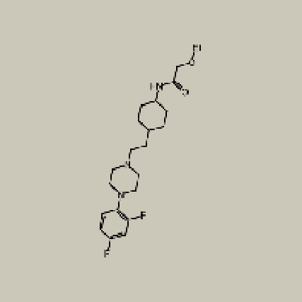 CCOCC(=O)NC1CCC(CCN2CCN(c3ccc(F)cc3F)CC2)CC1